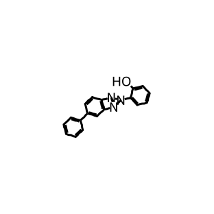 Oc1ccccc1-n1n2c3ccc(-c4ccccc4)cc3n12